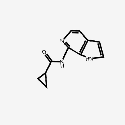 O=C(Nc1nccc2cc[nH]c12)C1CC1